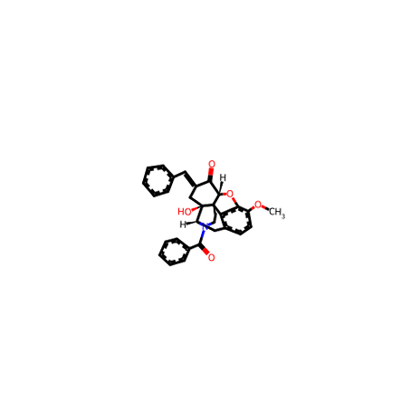 COc1ccc2c3c1O[C@H]1C(=O)/C(=C/c4ccccc4)C[C@@]4(O)[C@@H](C2)N(C(=O)c2ccccc2)CC[C@]314